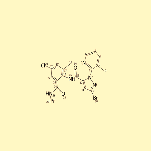 Cc1cccnc1-n1nc(Br)cc1C(=O)Nc1c(C)cc(Cl)cc1C(=O)NC(C)C